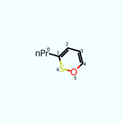 CCCC1=CC=COS1